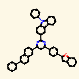 c1ccc(-c2ccc3cc(-c4cc(-c5ccc(-c6cc7ccccc7o6)cc5)nc(-c5ccc6c(c5)c5ccccc5n6-c5ccccc5)n4)ccc3c2)cc1